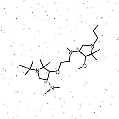 CCCN1C[C@H](N(C)CCOC2[C@H](N(C)C)CN(C(C)(C)C)C2(C)C)C(OC)C1(C)C